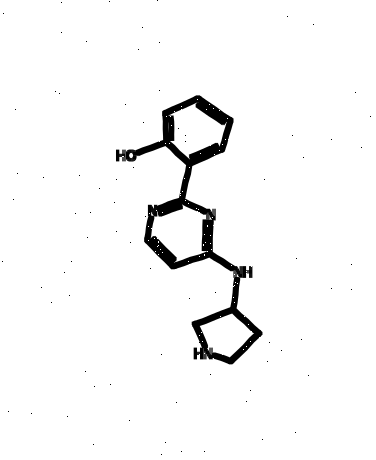 Oc1ccccc1-c1nccc(NC2CCNC2)n1